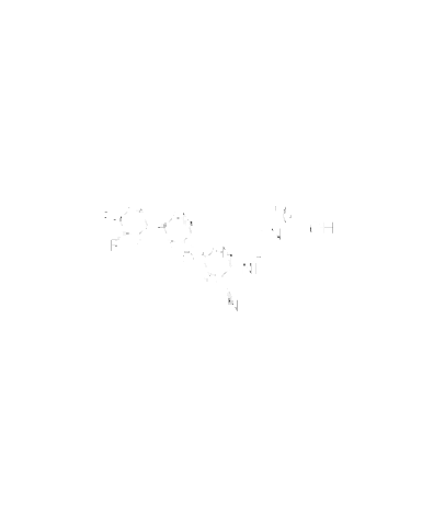 CC(C)(O)C(=O)N1CCC(Nc2ncc(Oc3cncc(-c4ccc(F)c(F)c4)c3)cc2C#N)CC1